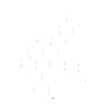 COc1ccc(CN(Cc2ccc(OC)cc2)c2ncnc(C(C)C)c2-n2c(=O)nc(N3C[C@@H](C)NC[C@@H]3C)c3cc(Cl)c(Cl)nc32)cc1